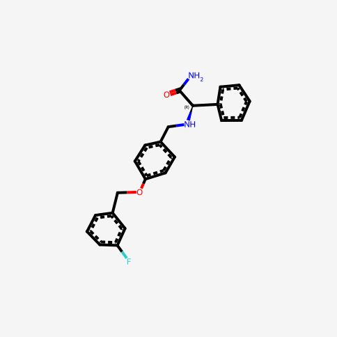 NC(=O)[C@H](NCc1ccc(OCc2cccc(F)c2)cc1)c1ccccc1